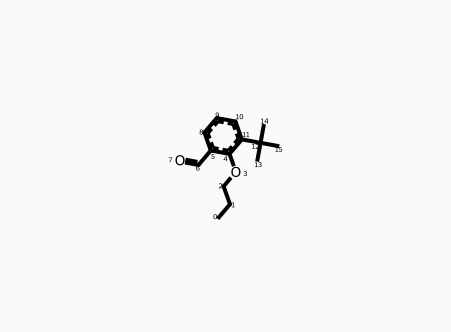 CCCOc1c(C=O)cccc1C(C)(C)C